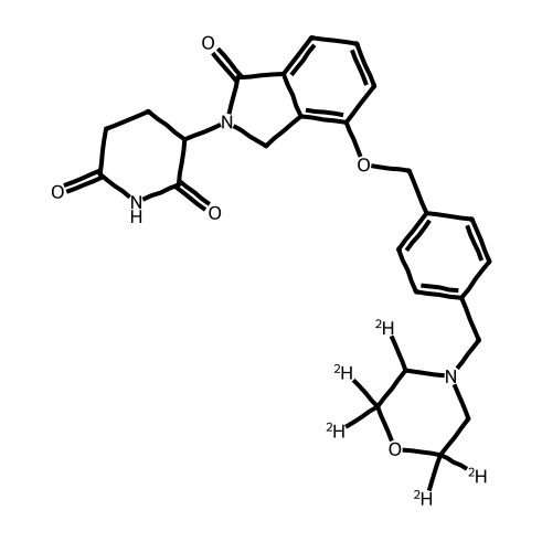 [2H]C1N(Cc2ccc(COc3cccc4c3CN(C3CCC(=O)NC3=O)C4=O)cc2)CC([2H])([2H])OC1([2H])[2H]